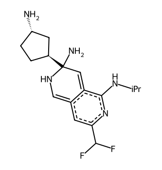 CC(C)Nc1nc(C(F)F)cc2c1=CC(N)([C@H]1CC[C@H](N)C1)NC=2